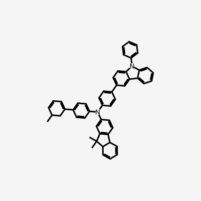 CC1C=CC=C(c2ccc(N(c3ccc(-c4ccc5c(c4)c4ccccc4n5-c4ccccc4)cc3)c3ccc4c(c3)C(C)(C)C3C=CC=CC43)cc2)C1